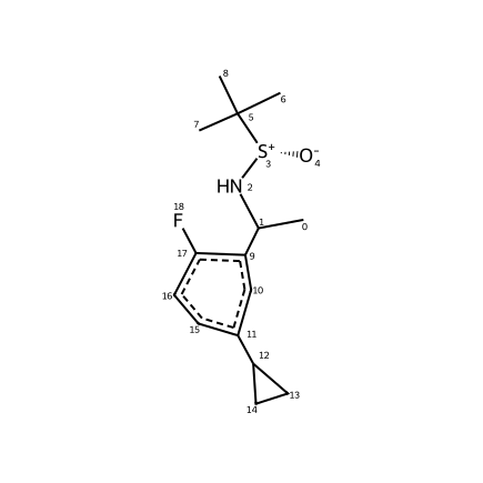 CC(N[S@@+]([O-])C(C)(C)C)c1cc(C2CC2)ccc1F